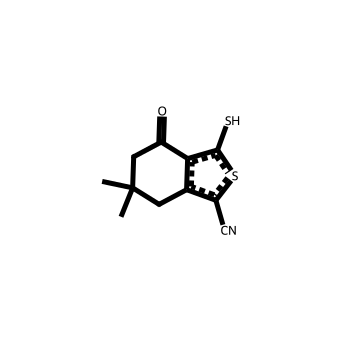 CC1(C)CC(=O)c2c(S)sc(C#N)c2C1